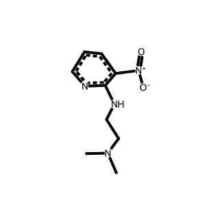 CN(C)CCNc1ncccc1[N+](=O)[O-]